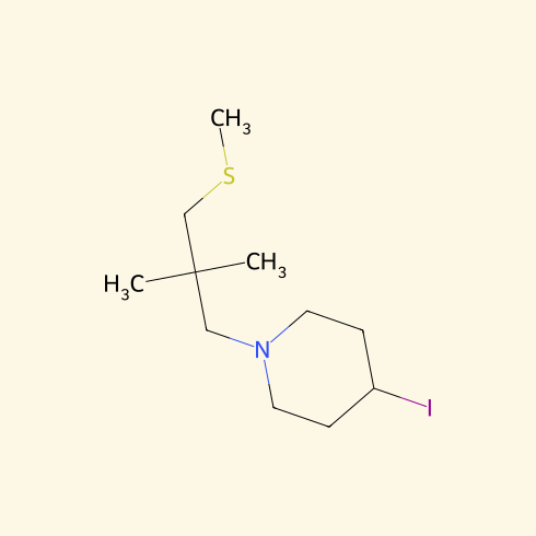 CSCC(C)(C)CN1CCC(I)CC1